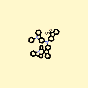 CC1(C)c2ccccc2-c2ccc(N(c3ccc4c(c3)C3(c5ccccc5-4)c4ccccc4-n4c5ccccc5c5cccc3c54)c3ccc4c(c3)c3ccccc3n4-c3ccccc3)cc21